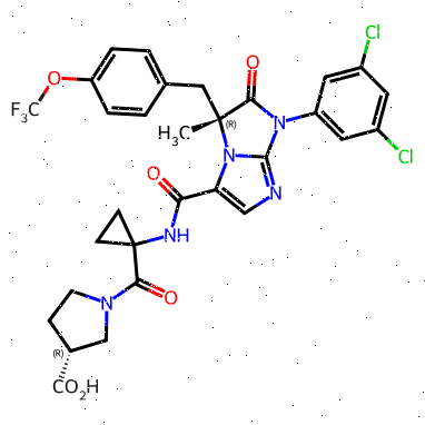 C[C@@]1(Cc2ccc(OC(F)(F)F)cc2)C(=O)N(c2cc(Cl)cc(Cl)c2)c2ncc(C(=O)NC3(C(=O)N4CC[C@@H](C(=O)O)C4)CC3)n21